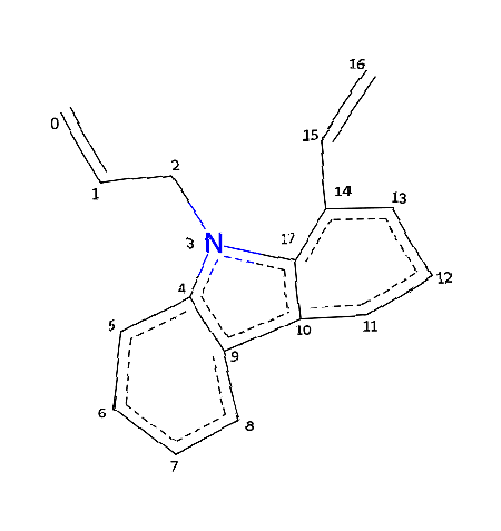 C=CCn1c2ccccc2c2cccc(C=C)c21